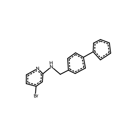 Brc1ccnc(NCc2ccc(-c3ccccc3)cc2)c1